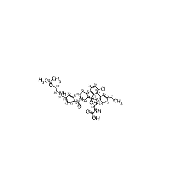 CCc1cccc(-c2c(Cl)cccc2[C@](O)(CCCNC(=O)O)[C@@H]2CCCN(C(=O)c3ccc(CNCCOC(C)C)cc3)C2)c1